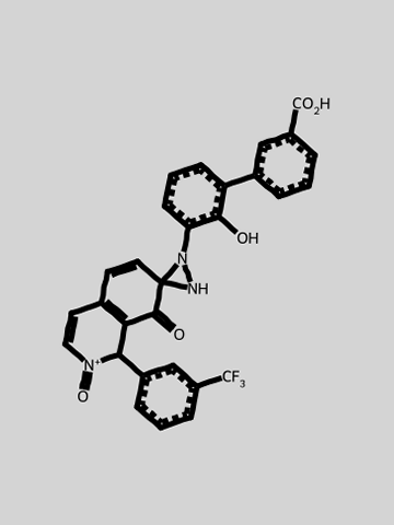 O=C(O)c1cccc(-c2cccc(N3NC34C=CC3=C(C4=O)C(c4cccc(C(F)(F)F)c4)[N+](=O)C=C3)c2O)c1